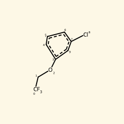 FC(F)(F)COc1c[c]cc(Cl)c1